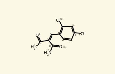 CC(=O)/C(=C/c1ccc(Cl)cc1Cl)C(N)=O